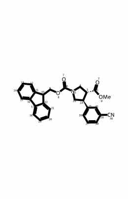 COC(=O)[C@H]1CN(C(=O)OCC2c3ccccc3-c3ccccc32)C[C@@H]1c1cccc(C#N)c1